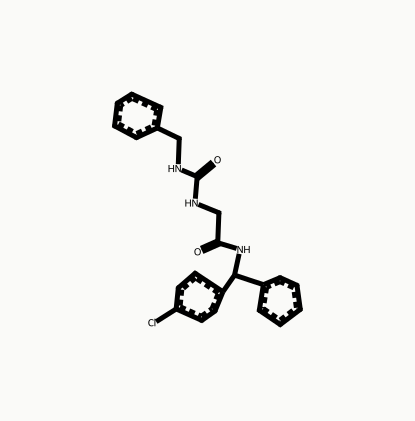 O=C(CNC(=O)NCc1ccccc1)NC(c1ccccc1)c1ccc(Cl)cc1